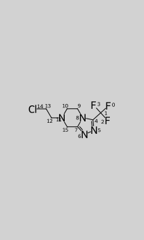 FC(F)(F)c1nnc2n1CCN(CCCl)C2